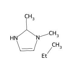 CC1NC=CN1C.CCC